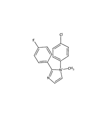 C[N+]1(c2ccc(Cl)cc2)C=CN=C1c1ccc(F)cc1